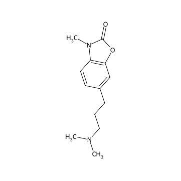 CN(C)CCCc1ccc2c(c1)oc(=O)n2C